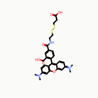 CN(C)c1ccc2c(-c3ccc(C(=O)NCCSSCCC(=O)O)cc3C(=O)O)c3ccc(=[N+](C)C)cc-3oc2c1